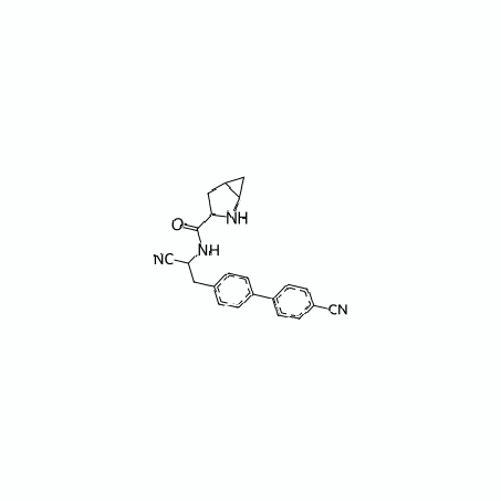 N#Cc1ccc(-c2ccc(CC(C#N)NC(=O)C3CC4CC4N3)cc2)cc1